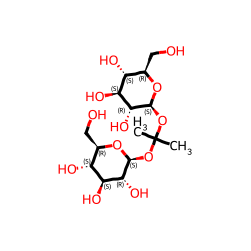 CC(C)(O[C@@H]1O[C@H](CO)[C@@H](O)[C@H](O)[C@H]1O)O[C@@H]1O[C@H](CO)[C@@H](O)[C@H](O)[C@H]1O